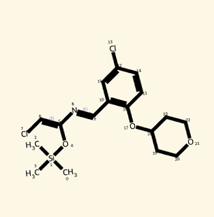 C[Si](C)(C)OC(=C\Cl)/N=C/c1cc(Cl)ccc1OC1CCOCC1